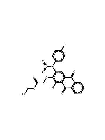 CCOC(=O)COc1c(N(c2ccc(Cl)cc2)[SH](=O)=O)cc2c(c1O)C(=O)c1ccccc1C2=O